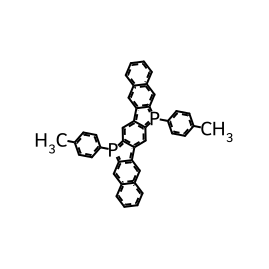 Cc1ccc(-p2c3cc4ccccc4cc3c3cc4c(cc32)c2cc3ccccc3cc2p4-c2ccc(C)cc2)cc1